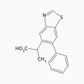 CC(C(=O)O)c1cc2ncsc2cc1-c1ccccc1